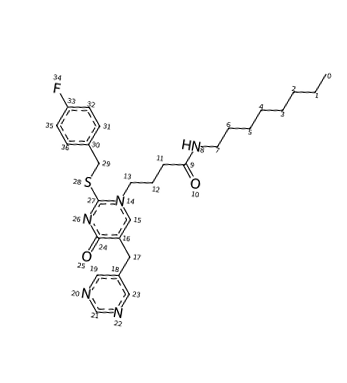 CCCCCCCCNC(=O)CCCn1cc(Cc2cncnc2)c(=O)nc1SCc1ccc(F)cc1